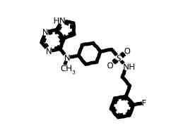 CN(c1ncnc2[nH]ccc12)C1CCC(CS(=O)(=O)NCCc2ccccc2F)CC1